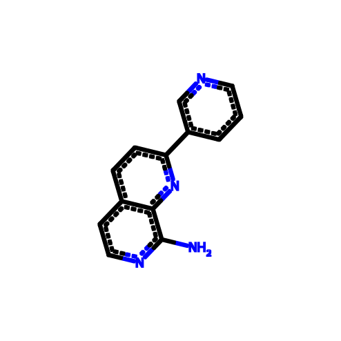 Nc1nccc2ccc(-c3cccnc3)nc12